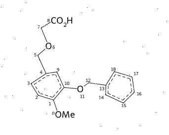 COc1ccc(COCC(=O)O)cc1OCc1ccccc1